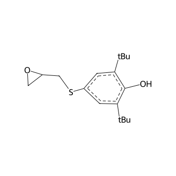 CC(C)(C)c1cc(SCC2CO2)cc(C(C)(C)C)c1O